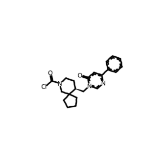 O=C(Cl)N1CC[C@@H](Cn2cnc(-c3ccccc3)cc2=O)C2(CCCC2)C1